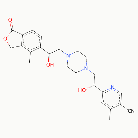 Cc1cc([C@H](O)CN2CCN(C[C@@H](O)c3ccc4c(c3C)COC4=O)CC2)ncc1C#N